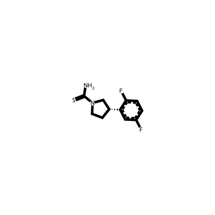 NC(=S)N1CC[C@@H](c2cc(F)ccc2F)C1